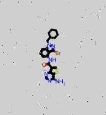 Nc1ncnc2c(C(=O)Nc3cccc4c3c(Br)nn4CC3CCCCC3)csc12